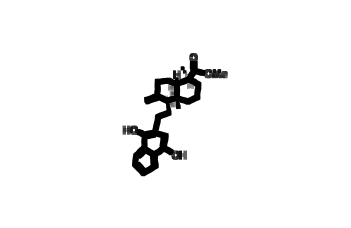 C=C1CC[C@@H]2[C@](C)(CCC[C@]2(C)C(=O)OC)[C@H]1CCc1cc(O)c2ccccc2c1O